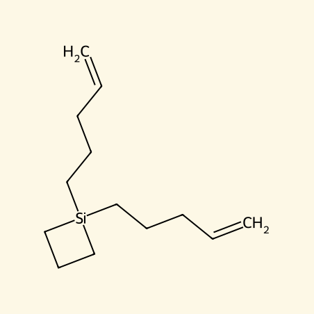 C=CCCC[Si]1(CCCC=C)CCC1